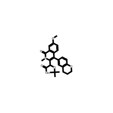 COc1ccc2c(-c3ccc4c(c3)CCCO4)c(C(OC(C)(C)C)C(=O)O)n(C)c(=O)c2c1